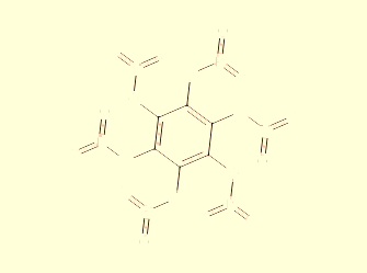 O=P(=O)Oc1c(OP(=O)=O)c(OP(=O)=O)c(OP(=O)=O)c(OP(=O)=O)c1OP(=O)=O